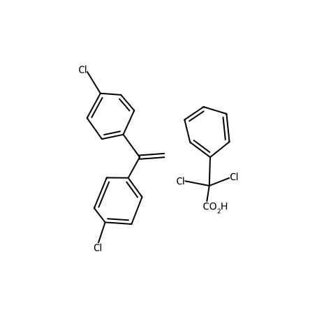 C=C(c1ccc(Cl)cc1)c1ccc(Cl)cc1.O=C(O)C(Cl)(Cl)c1ccccc1